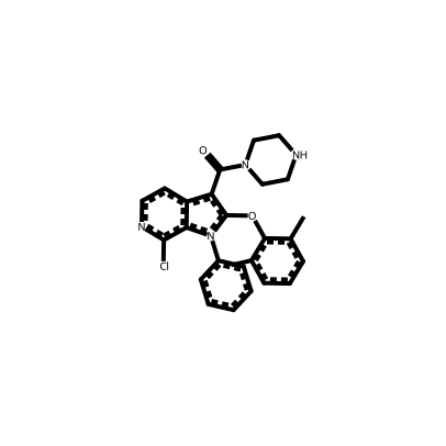 Cc1cccc(C)c1Oc1c(C(=O)N2CCNCC2)c2ccnc(Cl)c2n1-c1ccccc1